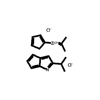 CC(C)C1=NC2=CC=CC2=C1.C[C](C)=[Zr+2][C]1=CC=CC1.[Cl-].[Cl-]